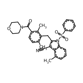 Cc1ccc(C(=O)N2CCOCC2)c(C)c1Cc1c(C#N)c2c(C)cccc2n1S(=O)(=O)c1ccccc1